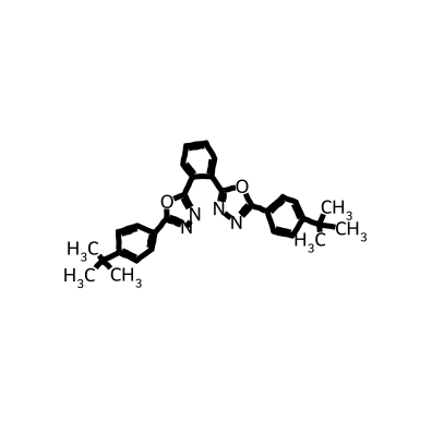 CC(C)(C)c1ccc(-c2nnc(-c3ccccc3-c3nnc(-c4ccc(C(C)(C)C)cc4)o3)o2)cc1